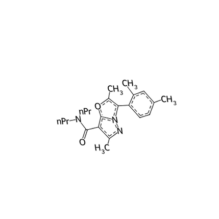 CCCN(CCC)C(=O)c1c(C)nn2c(-c3ccc(C)cc3C)c(C)oc12